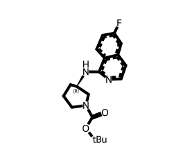 CC(C)(C)OC(=O)N1CCC[C@@H](Nc2nccc3cc(F)ccc23)C1